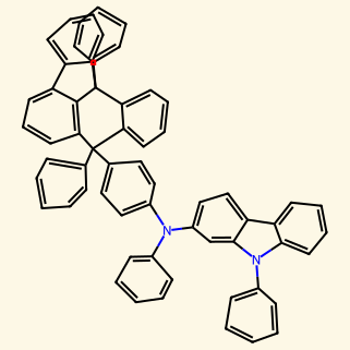 c1ccc(N(c2ccc(C3(c4ccccc4)c4ccccc4C4(c5ccccc5)c5ccccc5-c5cccc3c54)cc2)c2ccc3c4ccccc4n(-c4ccccc4)c3c2)cc1